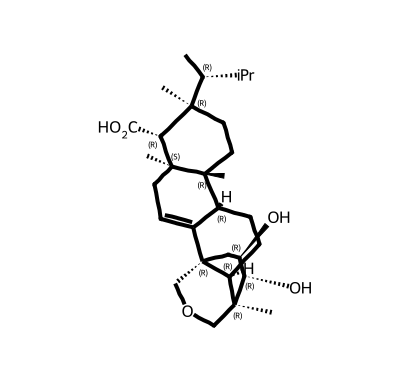 CC(C)[C@@H](C)[C@@]1(C)CC[C@]2(C)[C@H]3CC[C@@H]4[C@@]5(COC[C@]4(C)[C@@H](O)[C@H](O)C5)C3=CC[C@@]2(C)[C@@H]1C(=O)O